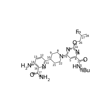 CC[C@@H](C)NC(=O)c1cc(N2CCC(c3ccc(N)c(C(N)=O)n3)CC2)nc(OCC(C)F)n1